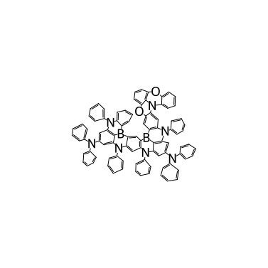 c1ccc(N(c2ccccc2)c2cc3c4c(c2)N(c2ccccc2)c2cc5c(cc2B4c2ccccc2N3c2ccccc2)B2c3cc4c(cc3N(c3ccccc3)c3cc(N(c6ccccc6)c6ccccc6)cc(c32)N5c2ccccc2)N2c3ccccc3Oc3cccc(c32)O4)cc1